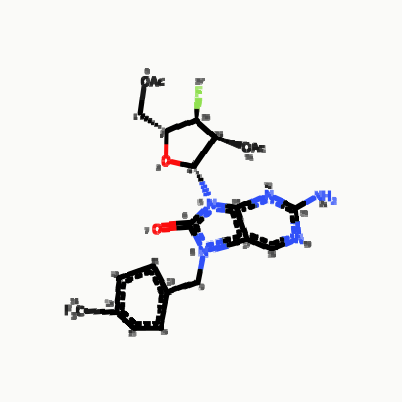 CC(=O)OC[C@H]1O[C@@H](n2c(=O)n(Cc3ccc(C(F)(F)F)cc3)c3cnc(N)nc32)[C@H](OC(C)=O)[C@@H]1F